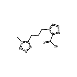 Cn1nnnc1CCCn1ccnc1C(=O)O